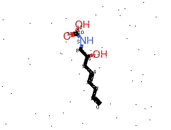 C=CCC=CCC(O)CNC(=O)O